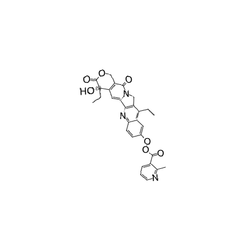 CCc1c2c(nc3ccc(OOC(=O)c4cccnc4C)cc13)-c1cc3c(c(=O)n1C2)COC(=O)[C@]3(O)CC